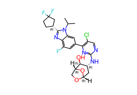 CC(C)n1c([C@@H]2CCC(F)(F)C2)nc2c(F)cc(-c3nc(N[C@@H]4C[C@@H]5OC[C@@H](O5)[C@H]4O)ncc3Cl)cc21